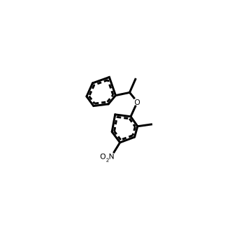 Cc1cc([N+](=O)[O-])ccc1OC(C)c1ccccc1